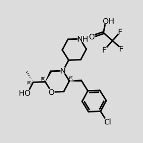 C[C@@H](O)[C@H]1CN(C2CCNCC2)[C@@H](Cc2ccc(Cl)cc2)CO1.O=C(O)C(F)(F)F